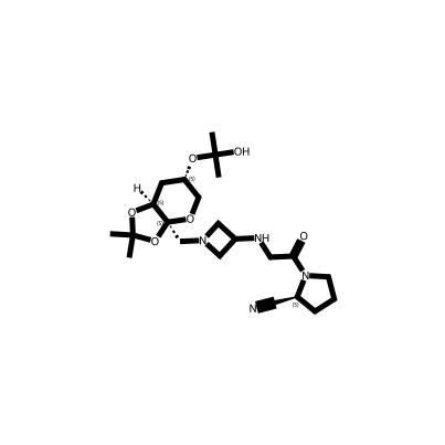 CC(C)(O)O[C@@H]1CO[C@@]2(CN3CC(NCC(=O)N4CCC[C@H]4C#N)C3)OC(C)(C)O[C@H]2C1